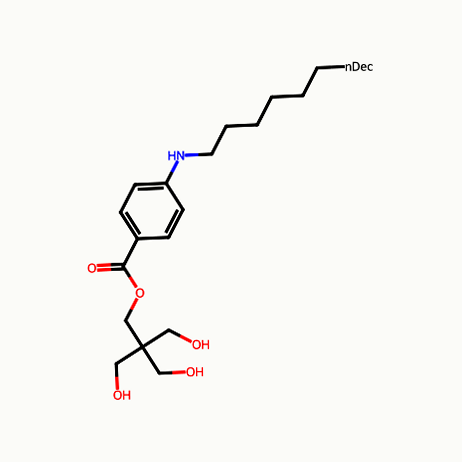 CCCCCCCCCCCCCCCCNc1ccc(C(=O)OCC(CO)(CO)CO)cc1